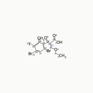 CCO/C=C(\C(=O)O)C(=O)c1c(Br)cc(Br)c(F)c1C